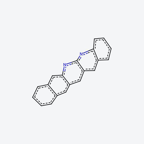 c1ccc2cc3nc4nc5ccccc5cc4cc3cc2c1